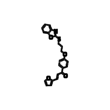 O=C(C=Cc1ccco1)c1ccc(OCCCSc2nc3ccccc3o2)cc1